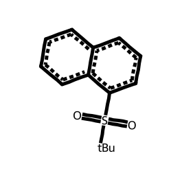 CC(C)(C)S(=O)(=O)c1cccc2ccccc12